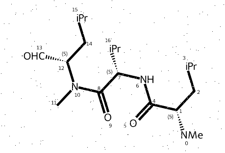 CN[C@@H](CC(C)C)C(=O)N[C@H](C(=O)N(C)[C@H]([C]=O)CC(C)C)C(C)C